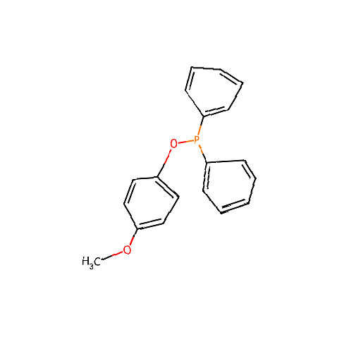 COc1ccc(OP(c2ccccc2)c2ccccc2)cc1